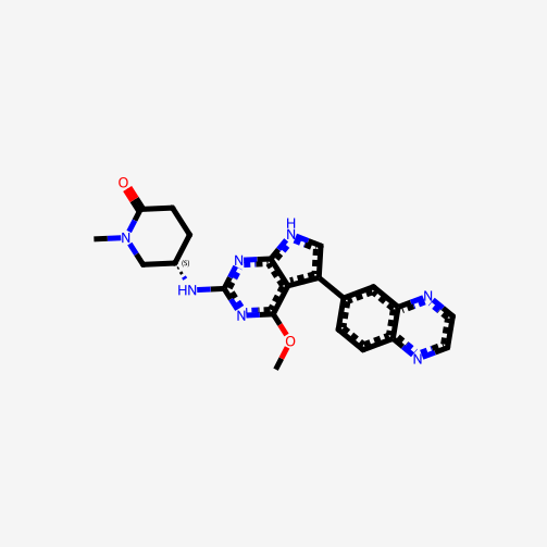 COc1nc(N[C@H]2CCC(=O)N(C)C2)nc2[nH]cc(-c3ccc4nccnc4c3)c12